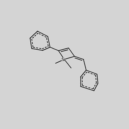 C[Si]1(C)C(c2ccccc2)=C/C1=C/c1ccccc1